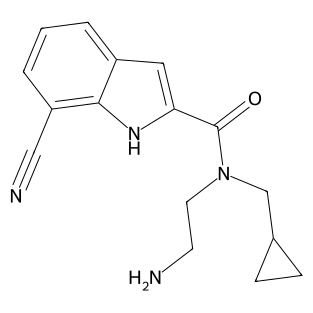 N#Cc1cccc2cc(C(=O)N(CCN)CC3CC3)[nH]c12